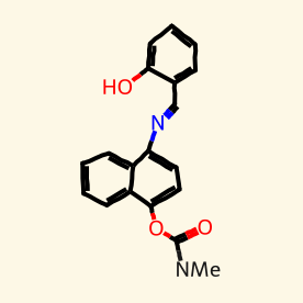 CNC(=O)Oc1ccc(/N=C/c2ccccc2O)c2ccccc12